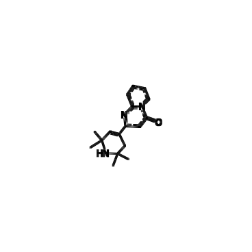 CC1(C)C=C(c2cc(=O)n3ccccc3n2)CC(C)(C)N1